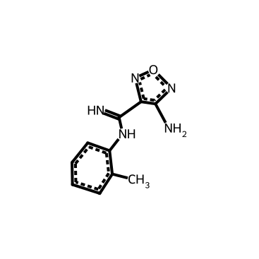 Cc1ccccc1NC(=N)c1nonc1N